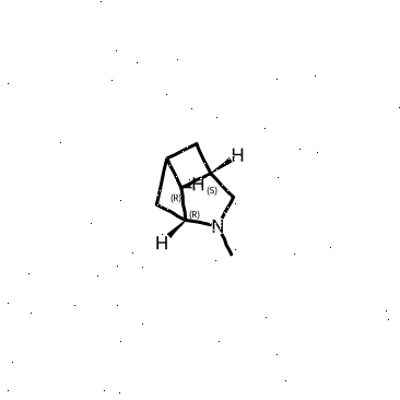 CN1C[C@H]2CC3C[C@@H]1[C@H]32